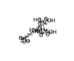 O=C(O)CN(CCN(CCN(CC(=O)O)CC(=O)O)CC(=O)NCCCCCCN1C(=O)C=CC1=O)CC(=O)O